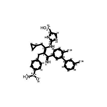 N=C(/C(Cc1ccc([S+](N)[O-])cc1)=C(/CC1CC1)Nc1nc(C(=O)O)cs1)c1ccc(F)c(-c2cccc(F)c2)c1